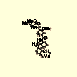 CNc1cccc(-c2cccc(NC(=O)c3cc(OC)c(CN[C@@H](COC)C(=O)OC)cn3)c2C)c1C